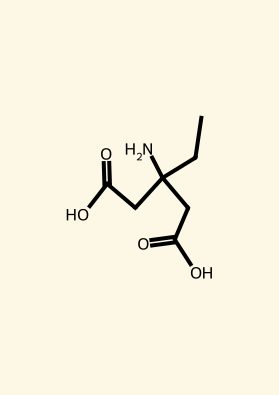 CCC(N)(CC(=O)O)CC(=O)O